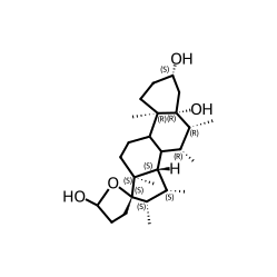 C[C@H]1[C@H]2C3C(CC[C@]2(C)[C@]2(CCC(O)O2)[C@H]1C)[C@@]1(C)CC[C@H](O)C[C@@]1(O)[C@H](C)[C@@H]3C